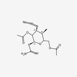 CC(=O)OCC1O[C@@H](SC(=N)N)C(OC(C)=O)[C@@H](N=[N+]=[N-])[C@H]1C